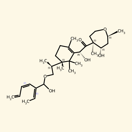 C=C/C=C\C(=C/C)C(O)OC[C@@H](C)[C@]1(C)CCC(C)=C([C@@H](O)C(=O)[C@@]2(C)CCO[C@@H](C)C[C@@H]2O)C1(C)C